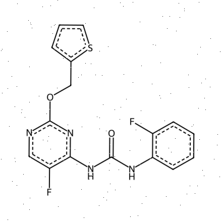 O=C(Nc1ccccc1F)Nc1nc(OCc2cccs2)ncc1F